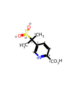 CC(C)(c1ccc(C(=O)O)nc1)[SH](=O)=O